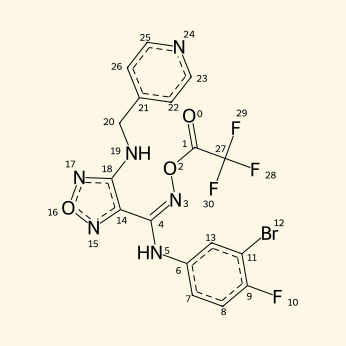 O=C(ON=C(Nc1ccc(F)c(Br)c1)c1nonc1NCc1ccncc1)C(F)(F)F